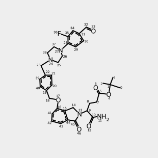 CC(C)(C)OC(=O)CCC(C(N)=O)N1Cc2c(OCc3ccc(CN4CCN(c5ccc(C=O)cc5F)CC4)cc3)cccc2C1=O